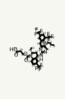 CCCNc1cnc(N[C@H]2C[C@@H](CC)N(C(=O)OCCC(=O)O)c3ccc(C(F)(F)F)cc32)nc1Cc1cc(C(F)(F)F)cc(C(F)(F)F)c1